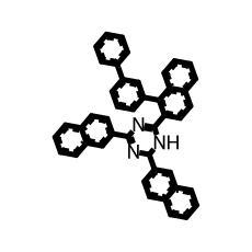 c1ccc(-c2cccc(-c3c(C4=NC(c5ccc6ccccc6c5)=NC(c5ccc6ccccc6c5)N4)ccc4ccccc34)c2)cc1